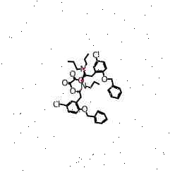 CCCN(CCC)C(Cc1cc(Cl)ccc1OCc1ccccc1)OC(=O)C(=O)OC(Cc1cc(Cl)ccc1OCc1ccccc1)N(CCC)CCC